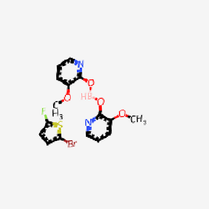 COc1cccnc1OBOc1ncccc1OC.Fc1ccc(Br)s1